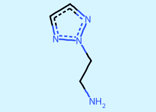 NCCn1nccn1